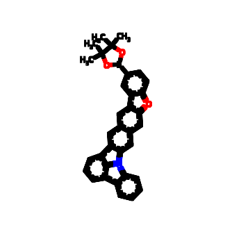 CC1(C)OB(c2ccc3oc4cc5cc6c(cc5cc4c3c2)c2cccc3c4ccccc4n6c32)OC1(C)C